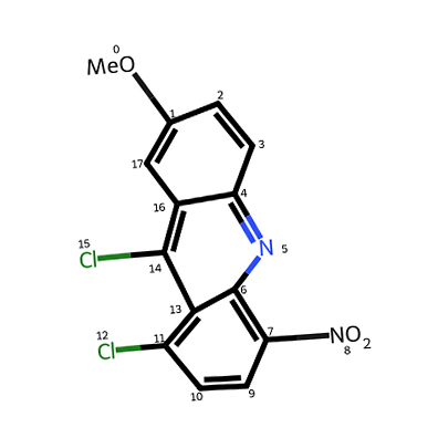 COc1ccc2nc3c([N+](=O)[O-])ccc(Cl)c3c(Cl)c2c1